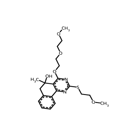 COCCOCCOc1nc(SCCOC)nc2c1C(C)(O)Cc1ccccc1-2